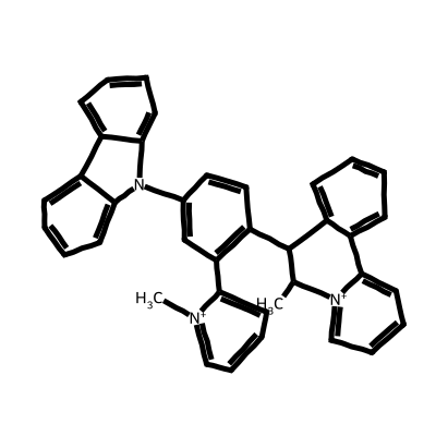 CC1C(c2ccc(-n3c4ccccc4c4ccccc43)cc2-c2cccc[n+]2C)c2ccccc2-c2cccc[n+]21